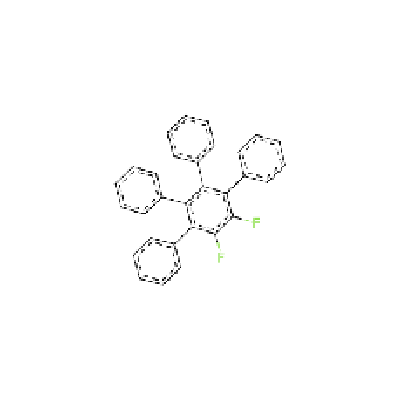 Fc1c(F)c(-c2ccccc2)c(-c2ccccc2)c(-c2ccccc2)c1-c1ccccc1